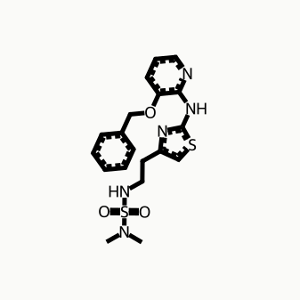 CN(C)S(=O)(=O)NCCc1csc(Nc2ncccc2OCc2ccccc2)n1